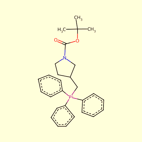 CC(C)(C)OC(=O)N1CCC(C[P+](c2ccccc2)(c2ccccc2)c2ccccc2)C1